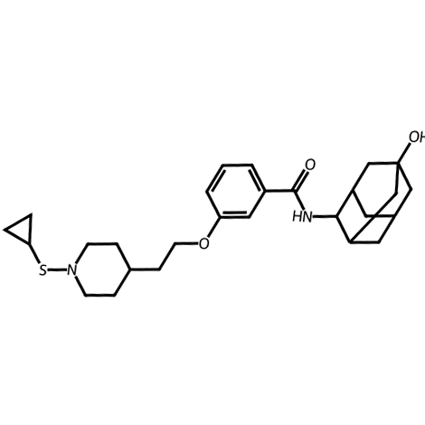 O=C(NC1C2CC3CC1CC(O)(C3)C2)c1cccc(OCCC2CCN(SC3CC3)CC2)c1